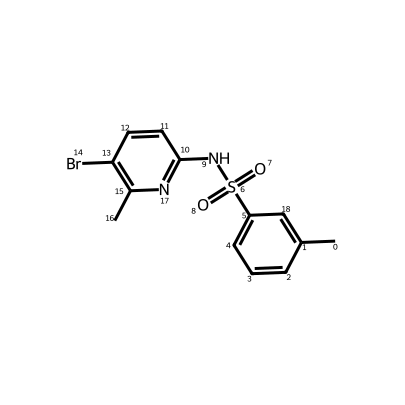 Cc1cccc(S(=O)(=O)Nc2ccc(Br)c(C)n2)c1